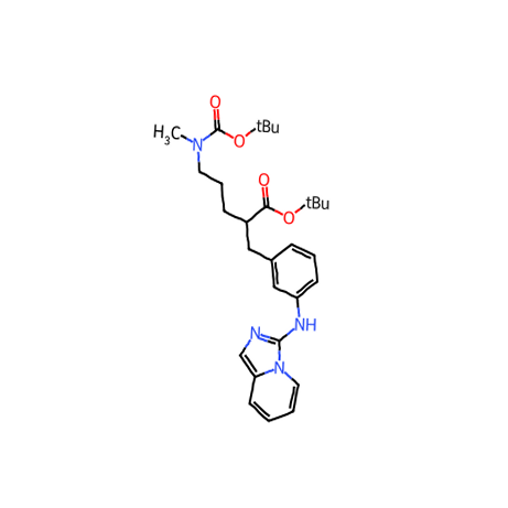 CN(CCCC(Cc1cccc(Nc2ncc3ccccn23)c1)C(=O)OC(C)(C)C)C(=O)OC(C)(C)C